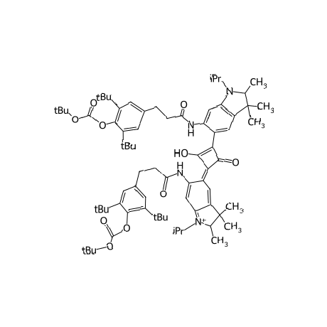 CC(C)N1c2cc(NC(=O)CCc3cc(C(C)(C)C)c(OC(=O)OC(C)(C)C)c(C(C)(C)C)c3)c(C3=C(O)/C(=c4/cc5c(cc4NC(=O)CCc4cc(C(C)(C)C)c(OC(=O)OC(C)(C)C)c(C(C)(C)C)c4)=[N+](C(C)C)C(C)C5(C)C)C3=O)cc2C(C)(C)C1C